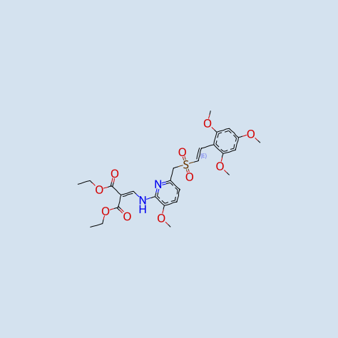 CCOC(=O)C(=CNc1nc(CS(=O)(=O)/C=C/c2c(OC)cc(OC)cc2OC)ccc1OC)C(=O)OCC